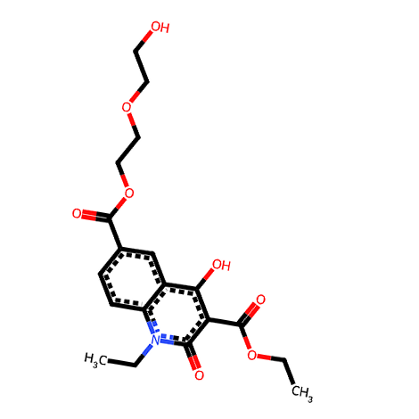 CCOC(=O)c1c(O)c2cc(C(=O)OCCOCCO)ccc2n(CC)c1=O